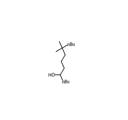 CCCCC(O)CCCC(C)(C)CCCC